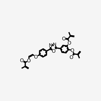 C=C(C)C(=O)O/C=C\Oc1ccc(-c2nnc(-c3ccc(OC(=O)C(=C)C)c(OC(=O)C(=C)C)c3)o2)cc1